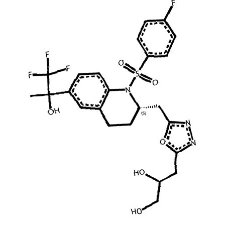 CC(O)(c1ccc2c(c1)CC[C@@H](Cc1nnc(CC(O)CO)o1)N2S(=O)(=O)c1ccc(F)cc1)C(F)(F)F